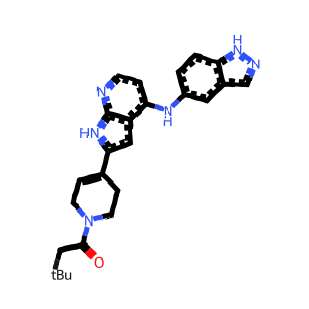 CC(C)(C)CC(=O)N1CC=C(c2cc3c(Nc4ccc5[nH]ncc5c4)ccnc3[nH]2)CC1